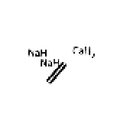 C=C.[CaH2].[NaH].[NaH]